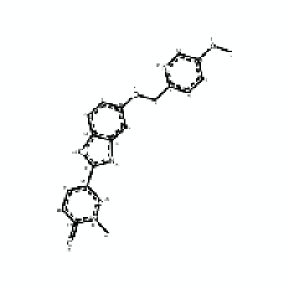 COc1ccc(COc2ccc3oc(-c4ccc(=O)n(C)n4)nc3c2)nc1